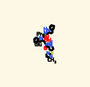 Cc1ccnc(SC2CCNC(C(=O)NCC(O)C(NC(=O)[C@@H](NC(=O)c3ccc4ccccc4n3)C(C)C)C(c3ccccc3)C(C)(C)C)C2)n1